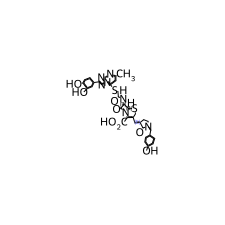 Cc1cc(SCC(=O)N[C@@H]2C(=O)N3C(C(=O)O)=C(/C=C4\CCN(Cc5ccc(O)cc5)C4=O)CS[C@H]23)n2nc(-c3ccc(O)c(O)c3)nc2n1